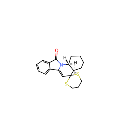 O=C1c2ccccc2C2=CC3(SCCCS3)[C@@H]3CCCC[C@H]3N12